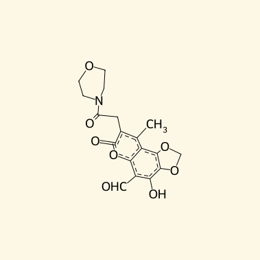 Cc1c(CC(=O)N2CCOCC2)c(=O)oc2c(C=O)c(O)c3c(c12)OCO3